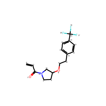 C=CC(=O)N1CCC(OCCc2ccc(C(F)(F)F)cc2)C1